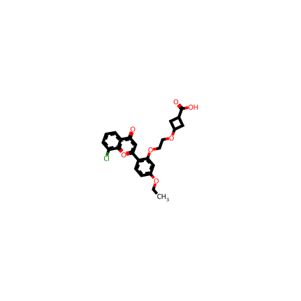 CCOc1ccc(-c2cc(=O)c3cccc(Cl)c3o2)c(OCCOC2CC(C(=O)O)C2)c1